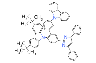 CC(C)(C)c1ccc2c(c1)c1cc(C(C)(C)C)ccc1n2-c1ccc(-c2nc(-c3ccccc3)cc(-c3ccccc3)n2)cc1-c1cccc(-n2c3ccccc3c3ccccc32)c1